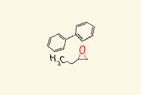 CCC1CO1.c1ccc(-c2ccccc2)cc1